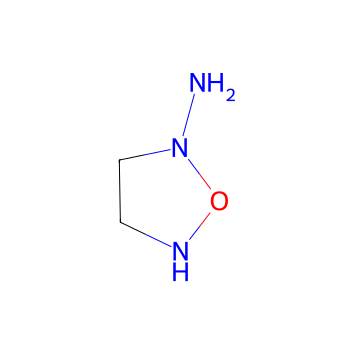 NN1CCNO1